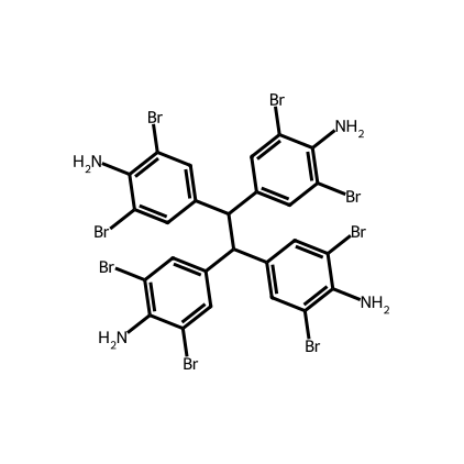 Nc1c(Br)cc(C(c2cc(Br)c(N)c(Br)c2)C(c2cc(Br)c(N)c(Br)c2)c2cc(Br)c(N)c(Br)c2)cc1Br